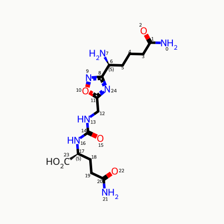 NC(=O)CCC[C@H](N)c1noc(CNC(=O)N[C@@H](CCC(N)=O)C(=O)O)n1